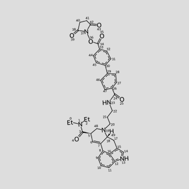 CCN(CC)C(=O)[C@@H]1C=C2c3cccc4[nH]cc(c34)C[C@H]2N(CCCNC(=O)c2ccc(-c3ccc(C(=O)ON4C(=O)CCC4=O)cc3)cc2)C1